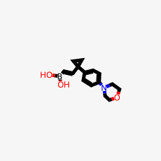 OB(O)C=CC1(c2ccc(N3CCOCC3)cc2)CC1